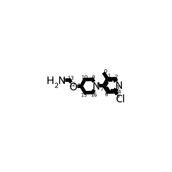 Cc1cnc(Cl)cc1N1CCC(OCN)CC1